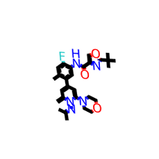 C=C1C=C(c2cc(NC(=O)c3coc(C(C)(C)C)n3)c(F)cc2C)C=C(N2CCOCC2)N1N=C(C)C